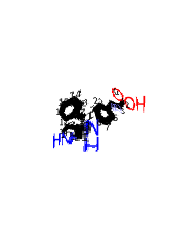 O=C(O)/C=C/c1ccc(N[C@]2(Cc3ccccc3)CCNC2)cc1